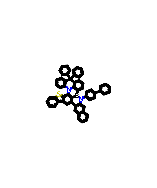 c1ccc(-c2ccc(N3B4c5cccc6c5N(c5ccccc5C6(c5ccccc5)c5ccccc5)c5c4c(cc4c5sc5ccccc54)-c4cc5ccccc5cc43)cc2)cc1